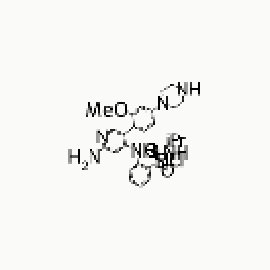 COc1cc(N2CCNCC2)ccc1-c1cnc(N)cc1Nc1ccccc1S(=O)(=O)NC(C)C.Cl